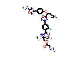 CCC(Oc1ccc(-c2noc(C)n2)cc1)c1nc(-c2ccc(C(=O)NC(C)(C)COC(=O)CN)c(F)c2)no1